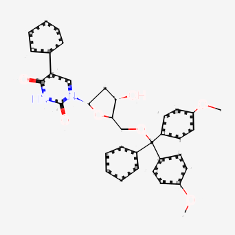 COc1ccc(C(OCC2O[C@@H](n3cc(-c4ccccc4)c(=O)[nH]c3=O)C[C@H]2O)(c2ccccc2)c2ccc(OC)cc2)cc1